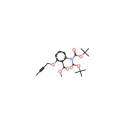 CC#CCOc1cccc(N(C(=O)OC(C)(C)C)C(=O)OC(C)(C)C)c1C(=O)OC